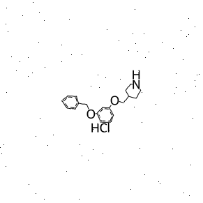 Cl.c1ccc(COc2cccc(OCC3CCNCC3)c2)cc1